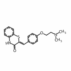 CN(C)CCOc1ccc(C=C2Sc3ccccc3NC2=O)cc1